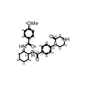 COc1ccc(C(=O)NC2CCCCC2NC(=O)c2ccc(N3CCNCC3=O)cc2)cc1